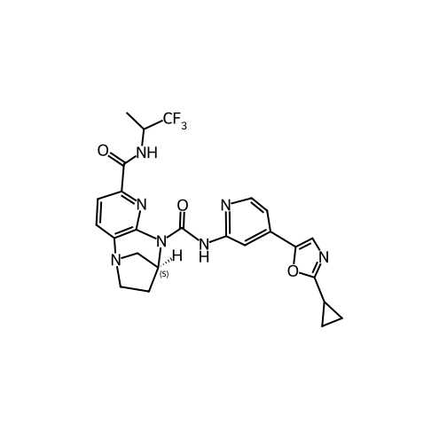 CC(NC(=O)c1ccc2c(n1)N(C(=O)Nc1cc(-c3cnc(C4CC4)o3)ccn1)[C@H]1CCN2C1)C(F)(F)F